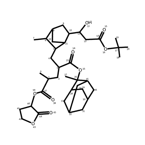 CC(CC(CC1C(C)C2CC(C(O)CC(=O)OC(C)(C)C)C1C2)C(=O)OC1(C)C2CC3CC(C2)CC1C3)C(=O)OC1CCOC1=O